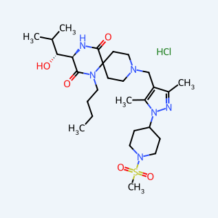 CCCCN1C(=O)[C@@H]([C@H](O)C(C)C)NC(=O)C12CCN(Cc1c(C)nn(C3CCN(S(C)(=O)=O)CC3)c1C)CC2.Cl